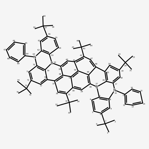 CC(C)(C)c1ccc2c(c1)N(c1ccccc1)c1cc(C(C)(C)C)cc3c1B2c1cc2c(C(C)(C)C)cc4c5c(cc6c(C(C)(C)C)cc-3c1c6c25)B1c2ccc(C(C)(C)C)cc2N(c2ccccc2)c2cc(C(C)(C)C)cc-4c21